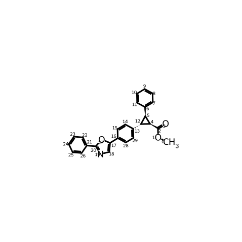 COC(=O)[C@@H]1[C@H](c2ccccc2)[C@H]1c1ccc(-c2cnc(-c3ccccc3)o2)cc1